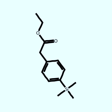 CCOC(=O)Cc1ccc([Si](C)(C)C)cc1